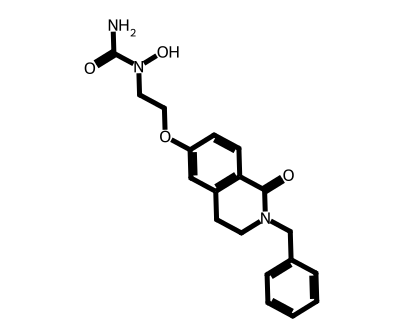 NC(=O)N(O)CCOc1ccc2c(c1)CCN(Cc1ccccc1)C2=O